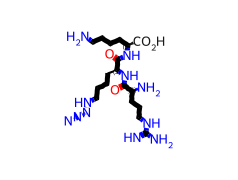 [N-]=[N+]=NNCCCC[C@H](NC(=O)[C@@H](N)CCCNC(=N)N)C(=O)N[C@@H](CCCCN)C(=O)O